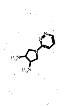 NC1CN(c2cccnn2)CC1N